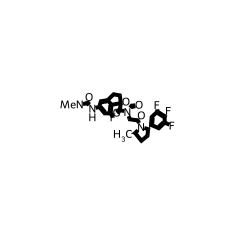 CNC(=O)Nc1cc(F)c2c(c1)CCC21OC(=O)N(CC(=O)N2[C@@H](C)CC[C@H]2c2cc(F)c(F)c(F)c2)C1=O